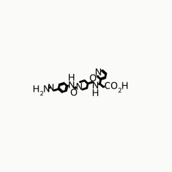 NN=Cc1ccc(NC(=O)N2CCC(C(=O)NC(CC(=O)O)c3cccnc3)CC2)cc1